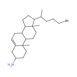 CC(C)CCCC(C)C1CCC2C3CC=C4CC(N)CCC4(C)C3CCC12C